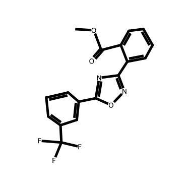 COC(=O)c1ccccc1-c1noc(-c2cccc(C(F)(F)F)c2)n1